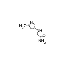 Cn1cc(NCC(N)=O)cn1